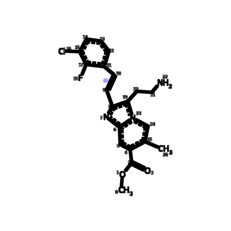 COC(=O)c1cc2nc(/C=C/c3cccc(Cl)c3F)c(CCN)n2cc1C